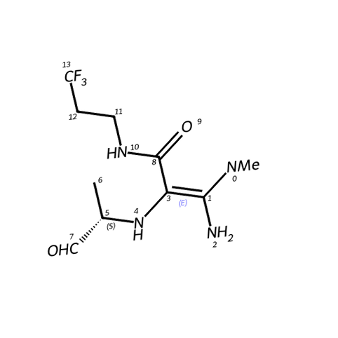 CN/C(N)=C(/N[C@@H](C)C=O)C(=O)NCCC(F)(F)F